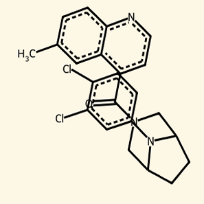 Cc1ccc2nccc(C(=O)N3CC4CCC(C3)N4c3ccc(Cl)c(Cl)c3)c2c1